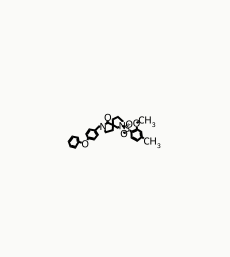 COc1cc(C)ccc1S(=O)(=O)N1CCCC2(CCN(Cc3ccc(Oc4ccccc4)cc3)C2=O)C1